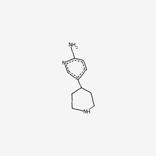 Nc1ccc(C2CCNCC2)cn1